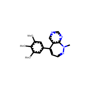 COc1cc(C2=CC=NN(C)c3ncncc32)cc(OC)c1OC